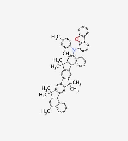 Cc1ccc(N(c2cc3c(c4ccccc24)-c2cc4c(cc2C3(C)C)-c2cc3c(cc2C4(C)C)-c2c(cc(C)c4ccccc24)C3(C)C)c2cccc3c2oc2ccccc23)c(C)c1